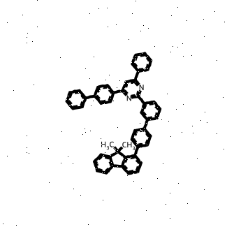 CC1(C)c2ccccc2-c2cccc(-c3ccc(-c4cccc(-c5nc(-c6ccccc6)cc(-c6ccc(-c7ccccc7)cc6)n5)c4)cc3)c21